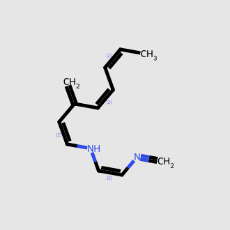 C=N/C=C\N/C=C\C(=C)/C=C\C=C/C